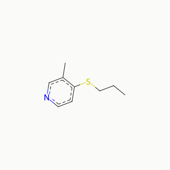 CCCSc1ccncc1C